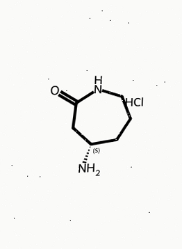 Cl.N[C@H]1CCCNC(=O)C1